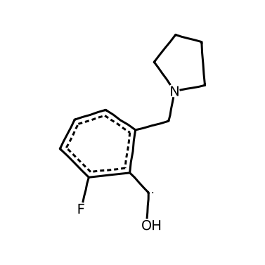 O[CH]c1c(F)cccc1CN1CCCC1